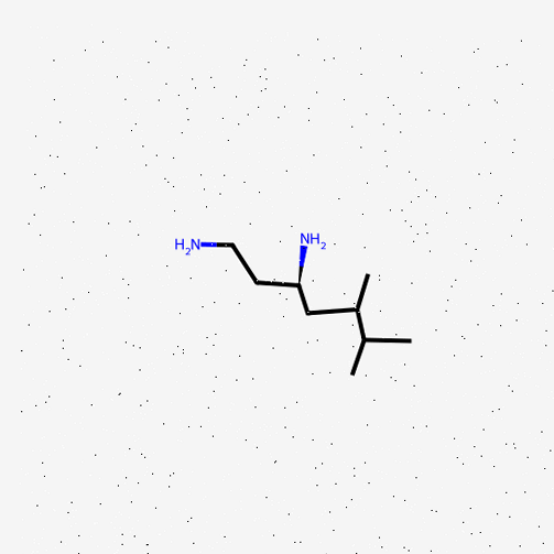 CC(C)C(C)C[C@H](N)CCN